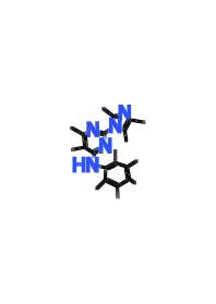 Cc1nc(-n2c(C)nc(C)c2C)nc(Nc2c(C)c(C)c(C)c(C)c2C)c1C